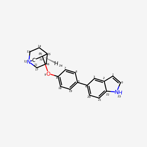 c1cc2cc(-c3ccc(O[C@H]4CN5CCC4CC5)cc3)ccc2[nH]1